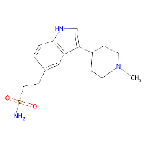 CN1CCC(c2c[nH]c3ccc(CCS(N)(=O)=O)cc23)CC1